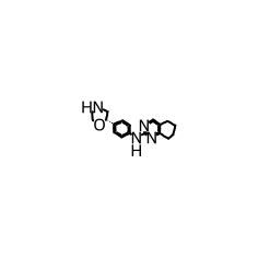 c1cc([C@H]2CNCCO2)ccc1Nc1ncc2c(n1)CCCC2